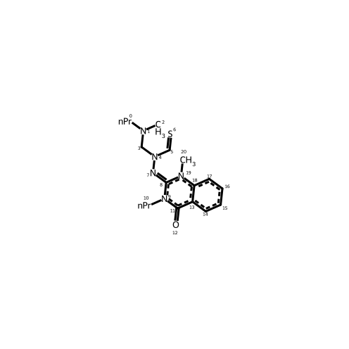 CCCN(C)CN(C=S)/N=c1/n(CCC)c(=O)c2ccccc2n1C